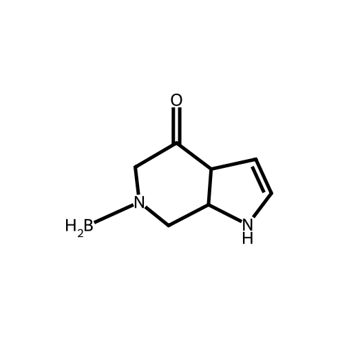 BN1CC(=O)C2C=CNC2C1